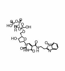 O=C(NCCC1=Nc2ccccc2[N+]1=O)c1cn([C@H]2C[C@H](O)[C@@H](COP(=O)(O)OP(=O)(O)OP(=O)(O)O)O2)c(=O)[nH]c1=O